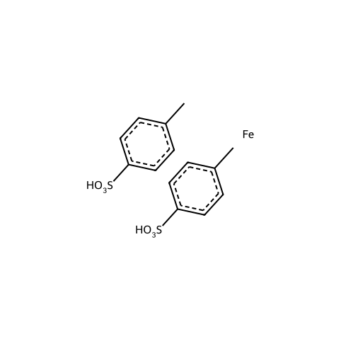 Cc1ccc(S(=O)(=O)O)cc1.Cc1ccc(S(=O)(=O)O)cc1.[Fe]